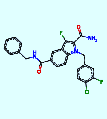 NC(=O)c1c(F)c2cc(C(=O)NCc3ccccc3)ccc2n1Cc1ccc(Cl)c(F)c1